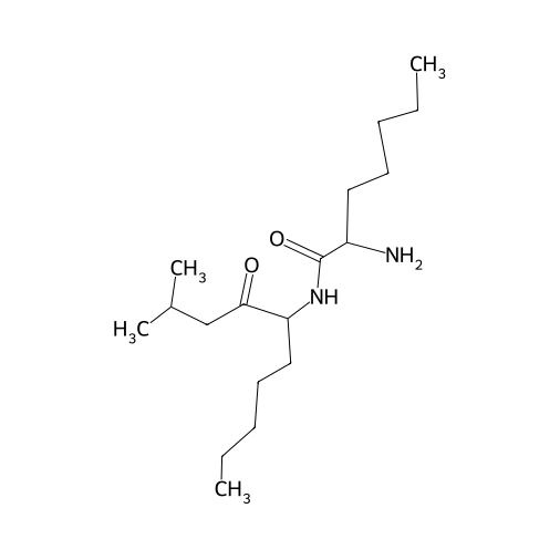 CCCCCC(N)C(=O)NC(CCCCC)C(=O)CC(C)C